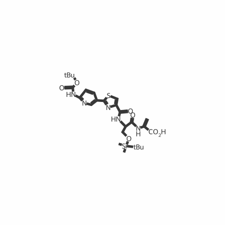 C=C(NC(=O)C(CO[Si](C)(C)C(C)(C)C)NC(=O)c1csc(-c2ccc(NC(=O)OC(C)(C)C)nc2)n1)C(=O)O